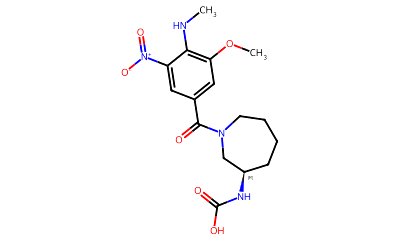 CNc1c(OC)cc(C(=O)N2CCCC[C@@H](NC(=O)O)C2)cc1[N+](=O)[O-]